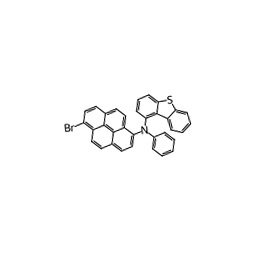 Brc1ccc2ccc3c(N(c4ccccc4)c4cccc5sc6ccccc6c45)ccc4ccc1c2c43